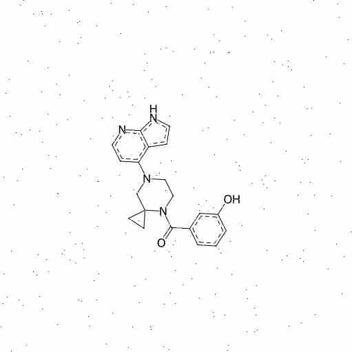 O=C(c1cccc(O)c1)N1CCN(c2ccnc3[nH]ccc23)CC12CC2